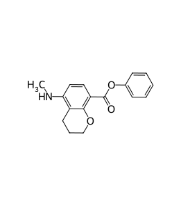 CNc1ccc(C(=O)Oc2ccccc2)c2c1CCCO2